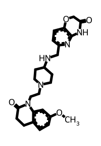 COc1ccc2c(c1)N(CCN1CCC(NCc3ccc4c(n3)NC(=O)CO4)CC1)C(=O)CC2